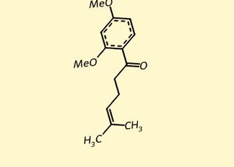 COc1ccc(C(=O)CCC=C(C)C)c(OC)c1